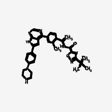 Cc1cc(-c2ncnc3[nH]c(-c4ccc(N5CCNCC5)cc4)cc23)ccc1C(C)NC(=O)c1nc(C(C)(C)C)no1